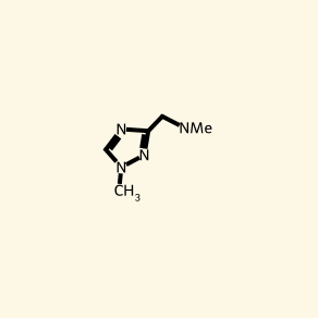 CNCc1ncn(C)n1